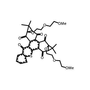 COCCOCCOC12C(=O)c3c4c(c5c(=O)c6ccccc6sc5c3C(=O)C1C2(C)C)C(=O)C1(OCCOCCOC)C(C4=O)C1(C)C